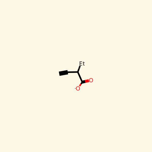 C#CC(CC)C([O])=O